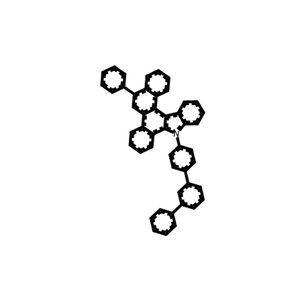 c1ccc(-c2cccc(-c3ccc(-n4c5ccccc5c5c6c7ccccc7c(-c7ccccc7)cc6c6ccccc6c54)cc3)c2)cc1